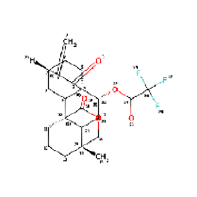 C=C1C(=O)[C@]23CC[C@H]1CC2[C@@]12CCC[C@@](C)(COC1=O)C2C[C@H]3OC(=O)C(F)(F)F